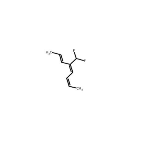 C\C=C/C=C(\C=C\C)C(F)F